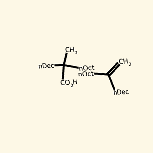 C=C(CCCCCCCC)CCCCCCCCCC.CCCCCCCCCCC(C)(CCCCCCCC)C(=O)O